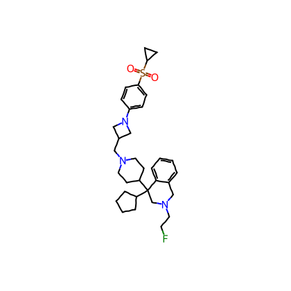 O=S(=O)(c1ccc(N2CC(CN3CCC(C4(C5CCCC5)CN(CCF)Cc5ccccc54)CC3)C2)cc1)C1CC1